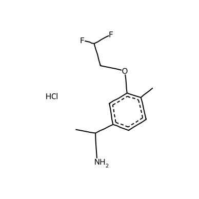 Cc1ccc(C(C)N)cc1OCC(F)F.Cl